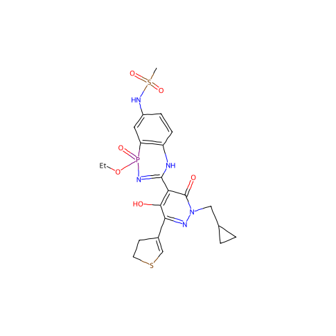 CCOP1(=O)N=C(c2c(O)c(C3=CSCC3)nn(CC3CC3)c2=O)Nc2ccc(NS(C)(=O)=O)cc21